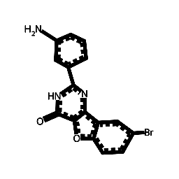 Nc1cccc(-c2nc3c(oc4ccc(Br)cc43)c(=O)[nH]2)c1